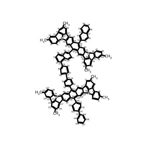 Cc1ccc2c(c1)c1cc(C)cc3c4cc5c(-c6ccc(-c7ccc(-c8cccc9cc(-c%10c%11cc%12c%13cc(C)cc%14c%15cc(C)ccc%15n(c%12cc%11c(-c%11ccc%12ccccc%12c%11)c%11cc%12c%15cc(C)cc%16c%17cc(C)ccc%17n(c%12cc%10%11)c%16%15)c%14%13)ccc89)cc7)cc6)c6cc7c(cc6c(-c6ccc(-c8ccccc8)cc6)c5cc4n2c13)c1cc(C)cc2c3cc(C)ccc3n7c21